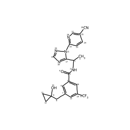 CC(NC(=O)c1cc(CC2(O)CC2)cc(C(F)(F)F)c1)c1ncnn1-c1ccc(C#N)cn1